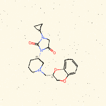 O=C1CN(C2CC2)C(=O)N1[C@H]1CCCN(C[C@H]2COc3ccccc3O2)C1